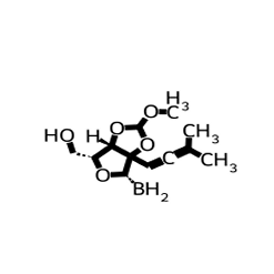 B[C@@H]1O[C@H](CO)[C@@H]2OC(OC)OC12C=C=C(C)C